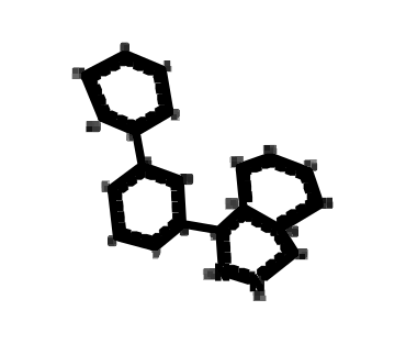 c1ccc(-c2cccc(-c3nncc4ccccc34)c2)cc1